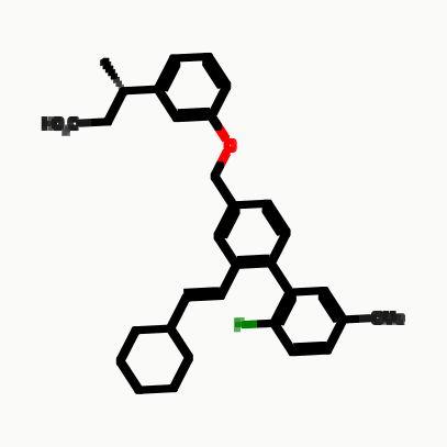 COc1ccc(F)c(-c2ccc(COc3cccc([C@@H](C)CC(=O)O)c3)cc2/C=C/C2CCCCC2)c1